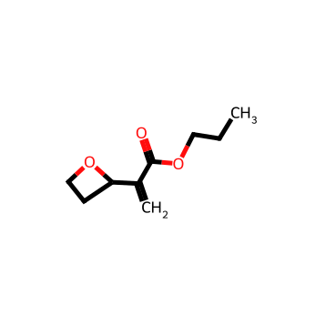 C=C(C(=O)OCCC)C1CCO1